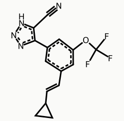 N#Cc1[nH]nnc1-c1cc(/C=C/C2CC2)cc(OC(F)(F)F)c1